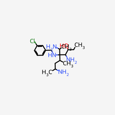 CCC(O)C(N)C(NCc1cccc(Cl)c1)(C(C)N)C(C)CC(C)N